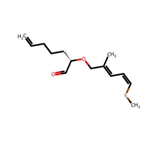 C=CCCC[C@@H](C=O)OC/C(C)=C/C=C\SC